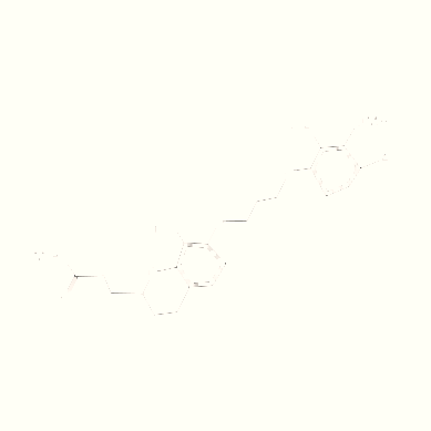 CCCc1c(OCCCOc2ccc(C(C)=O)c(OC)c2CCC)ccc2c1OC(CCC(=O)OC)CC2